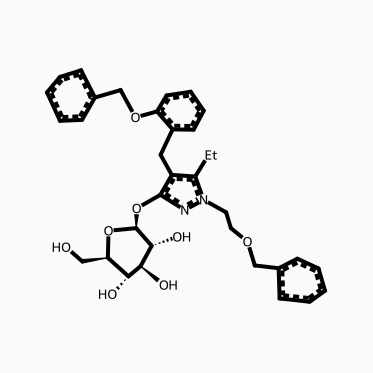 CCc1c(Cc2ccccc2OCc2ccccc2)c(O[C@@H]2O[C@H](CO)[C@@H](O)[C@H](O)[C@H]2O)nn1CCOCc1ccccc1